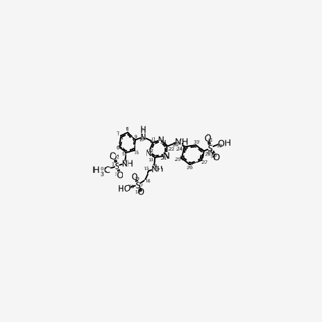 CS(=O)(=O)Nc1cccc(Nc2nc(NCCS(=O)(=O)O)nc(Nc3cccc(S(=O)(=O)O)c3)n2)c1